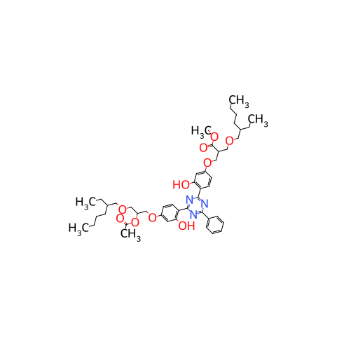 CCCCC(CC)COCC(COc1ccc(-c2nc(-c3ccccc3)nc(-c3ccc(OCC(COCC(CC)CCCC)C(=O)OC)cc3O)n2)c(O)c1)OC(C)=O